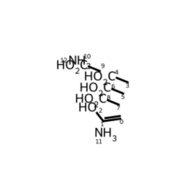 C=CO.CC(=O)O.CC(=O)O.CC(=O)O.CC(=O)O.N.N